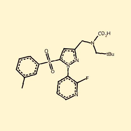 Cc1cccc(S(=O)(=O)c2cc(CN(CC(C)(C)C)C(=O)O)nn2-c2cccnc2F)c1